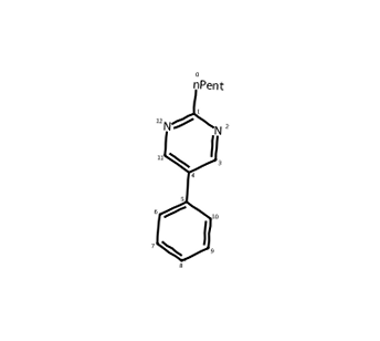 CCCCCc1ncc(-c2cc[c]cc2)cn1